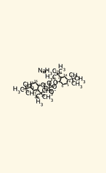 CC(C)(C)c1ccc(OOP(=O)([O-])OOc2ccc(C(C)(C)C)cc2C(C)(C)C)c(C(C)(C)C)c1.[Na+]